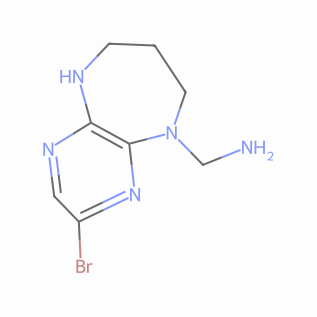 NCN1CCCNc2ncc(Br)nc21